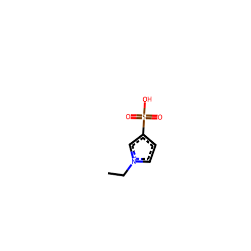 CCn1ccc(S(=O)(=O)O)c1